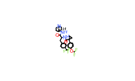 O=C(N[C@@H]1CN2CCC1CC2)C(Cc1ccc(C(F)(F)F)cc1)NC(=O)C1(c2ccc(OC(F)F)cc2)CC1